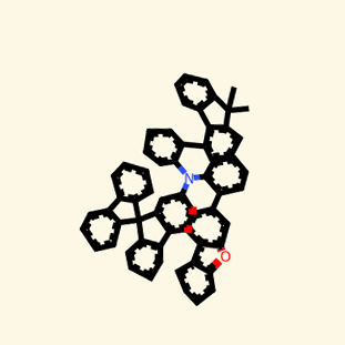 CC1(C)c2ccccc2-c2c(-c3ccccc3N(c3ccc4c(c3)C3(c5ccccc5-c5ccccc53)c3ccccc3-4)c3ccccc3-c3ccc4c(c3)oc3ccccc34)cccc21